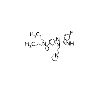 CCCCN(CCCC)C(=O)c1ccc2nc(-c3c[nH]c4cc(F)ccc34)n(CCCN3CCCCC3)c2c1